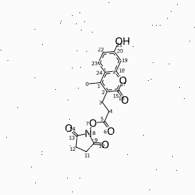 Cc1c(CCC(=O)ON2C(=O)CCC2=O)c(=O)oc2cc(O)ccc12